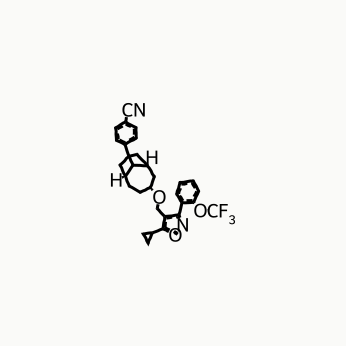 N#Cc1ccc(C23C[C@H]4CC[C@H](OCc5c(-c6ccccc6OC(F)(F)F)noc5C5CC5)C[C@H](C2)C43)cc1